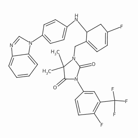 CC1(C)C(=O)N(c2ccc(F)c(C(F)(F)F)c2)C(=O)N1CC1=CC=C(F)CC1Nc1ccc(-n2cnc3ccccc32)cc1